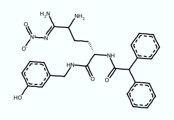 NC(=N[N+](=O)[O-])C(N)CC[C@H](NC(=O)C(c1ccccc1)c1ccccc1)C(=O)NCc1cccc(O)c1